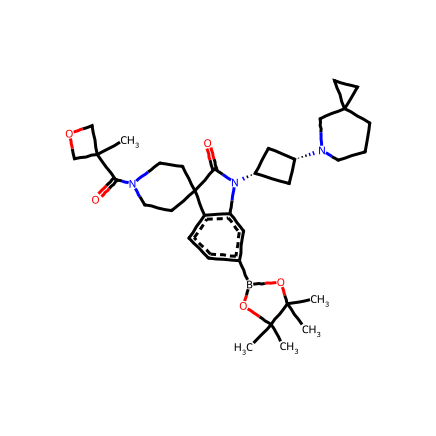 CC1(C(=O)N2CCC3(CC2)C(=O)N([C@H]2C[C@@H](N4CCCC5(CC5)C4)C2)c2cc(B4OC(C)(C)C(C)(C)O4)ccc23)COC1